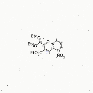 CCOC(=O)/C(=C/c1ccccc1[N+](=O)[O-])C(=O)C(OCC)OCC